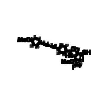 COc1ccc(C#CC#Cc2ccc(C(=O)N[C@H](C(=O)NO)C(C)(OC)C(F)F)cc2)cc1